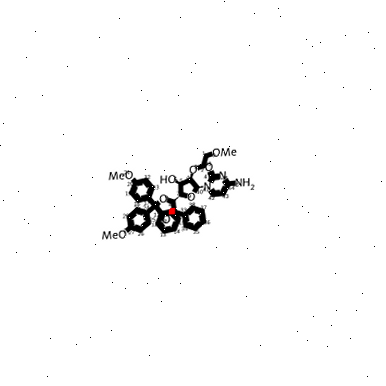 COCCO[C@@H]1[C@H](O)[C@@H](C(OC(c2ccccc2)(c2ccc(OC)cc2)c2ccc(OC)cc2)C(=O)c2ccccc2)O[C@H]1n1ccc(N)nc1=O